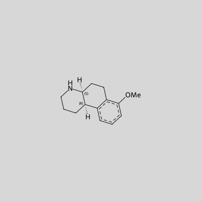 COc1cccc2c1CC[C@@H]1NCCC[C@H]21